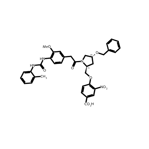 COc1cc(CC(=O)N2C[C@H](OCc3ccccc3)C[C@H]2COc2ccc(C(=O)O)cc2[N+](=O)[O-])ccc1NC(=O)Nc1ccccc1C